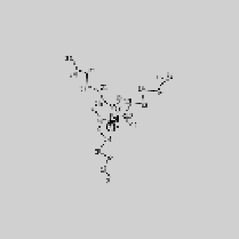 CCCCCCC(C)[Si]([O])(C(C)CCCCCC)C(C)CCCCCC